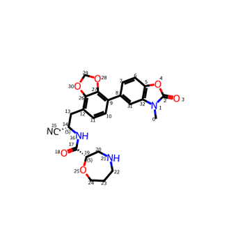 Cn1c(=O)oc2ccc(-c3ccc(C[C@@H](C#N)NC(=O)[C@@H]4CNCCCO4)c4c3OCO4)cc21